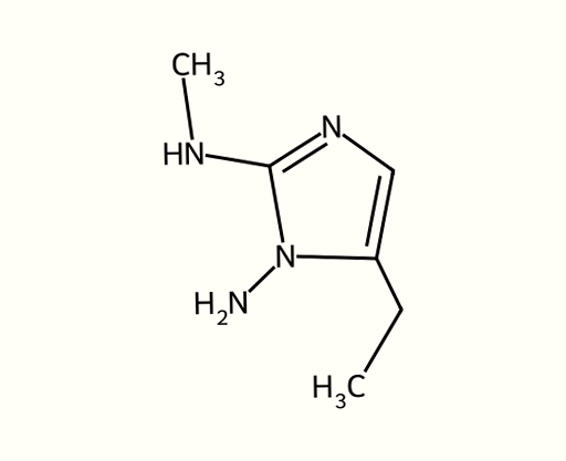 CCc1cnc(NC)n1N